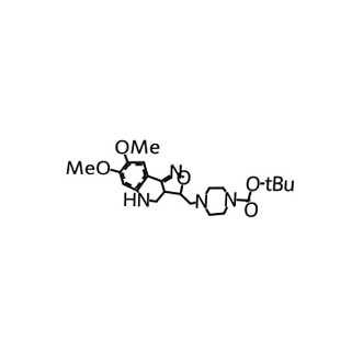 COc1cc2c(cc1OC)C1=NOC(CN3CCN(C(=O)OC(C)(C)C)CC3)C1CN2